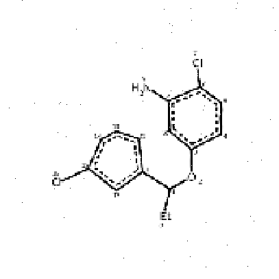 CCC(Oc1ccc(Cl)c(N)c1)c1cccc(Cl)c1